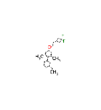 CCc1cccc(-c2c(C)cc(OCCC3CC(F)(F)C3)cc2C)c1